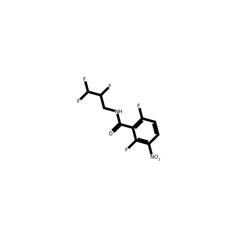 O=C(NCC(F)C(F)F)c1c(F)ccc([N+](=O)[O-])c1F